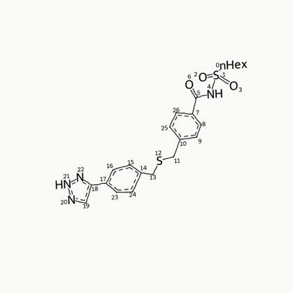 CCCCCCS(=O)(=O)NC(=O)c1ccc(CSCc2ccc(-c3cn[nH]n3)cc2)cc1